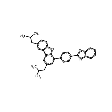 CC(C)Cc1ccc2oc3c(-c4ccc(-c5nc6ccccc6o5)cc4)cc(CC(C)C)cc3c2c1